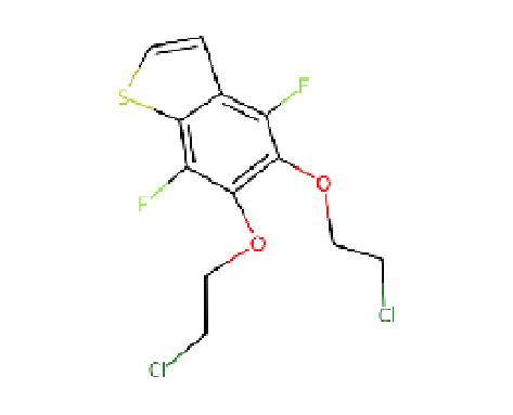 Fc1c(OCCCl)c(OCCCl)c(F)c2sccc12